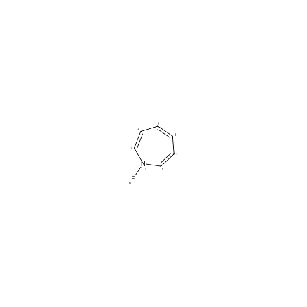 FN1C=CC=CC=C1